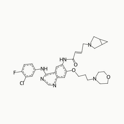 O=C(C=CCN1CC2CC2C1)Nc1cc2c(Nc3ccc(F)c(Cl)c3)ncnc2cc1OCCCN1CCOCC1